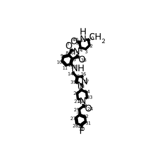 C=C1CCC(N2C(=O)c3cccc(NCc4cnn(C5CCN(C(=O)Cc6ccc(F)cc6)CC5)c4)c3C2=O)C(=O)N1